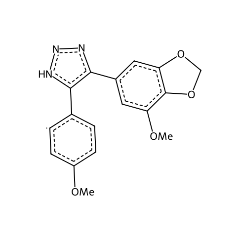 COc1c[c]c(-c2[nH]nnc2-c2cc(OC)c3c(c2)OCO3)cc1